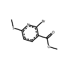 COC(=O)c1ccc(SC)nc1Br